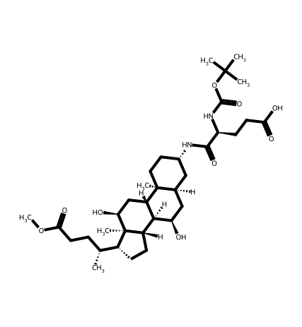 COC(=O)CC[C@@H](C)[C@H]1CC[C@H]2[C@@H]3[C@H](O)C[C@@H]4C[C@@H](NC(=O)[C@H](CCC(=O)O)NC(=O)OC(C)(C)C)CC[C@]4(C)[C@H]3C[C@H](O)[C@]12C